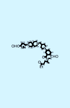 CCC(=O)CCC(C)N(C)C(=O)c1cc(N2CCC(CN3CCC4(CC3)CCN(c3ccc(C=O)nn3)CC4)CC2)ccc1C=O